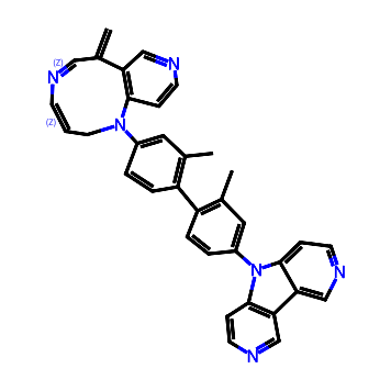 C=C1/C=N\C=C/CN(c2ccc(-c3ccc(-n4c5ccncc5c5cnccc54)cc3C)c(C)c2)c2ccncc21